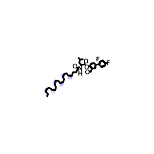 CC/C=C\C/C=C\C/C=C\C/C=C\C/C=C\C/C=C\CCC(=O)NC(CC(C)C)C(=O)Oc1ccc(-c2ccc(F)cc2F)cc1C=O